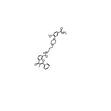 COc1ccc(C(N)=O)cc1N1CCN(CCCNC(=O)c2cccc3c(=O)c(C)c(-c4ccccc4)oc23)CC1